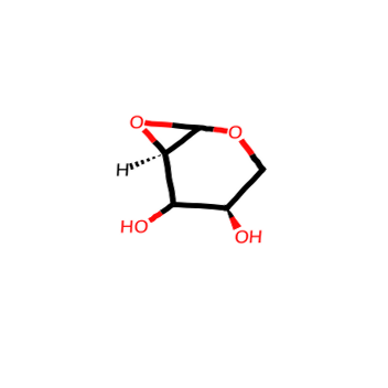 OC1[C@H]2OC2OC[C@H]1O